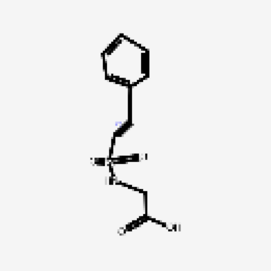 O=C(O)CNS(=O)(=O)/C=C/c1ccccc1